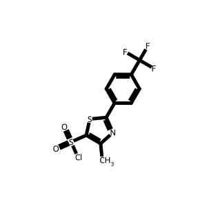 Cc1nc(-c2ccc(C(F)(F)F)cc2)sc1S(=O)(=O)Cl